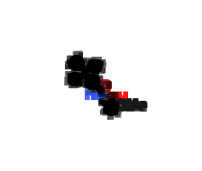 COc1cccc(C=NNC(=O)c2ccc(C(=C(c3ccccc3)c3ccccc3)c3ccccc3)cc2)c1O